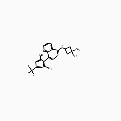 Cc1cc(C(F)(F)F)cc(O)c1-c1nnc(NC2CC(C)(O)C2)c2cccnc12